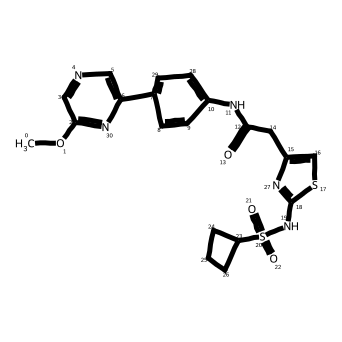 COc1cncc(-c2ccc(NC(=O)Cc3csc(NS(=O)(=O)C4CCC4)n3)cc2)n1